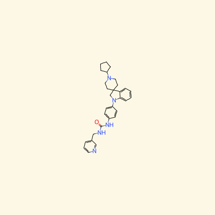 O=C(NCc1cccnc1)Nc1ccc(N2CC3(CCN(C4CCCC4)CC3)c3ccccc32)cc1